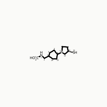 O=C(O)NCC1CCC(N2CC[C@@H](S)C2)CC1